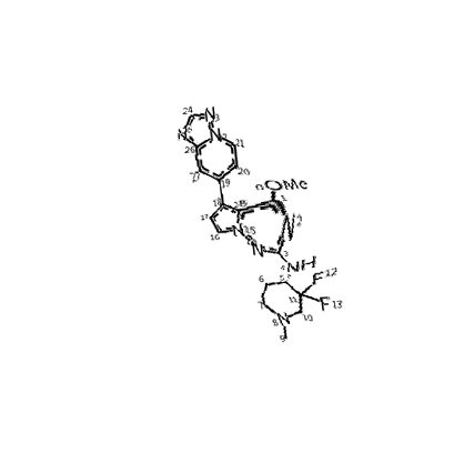 COc1nc(N[C@H]2CCN(C)CC2(F)F)nn2ccc(-c3ccn4ncnc4c3)c12